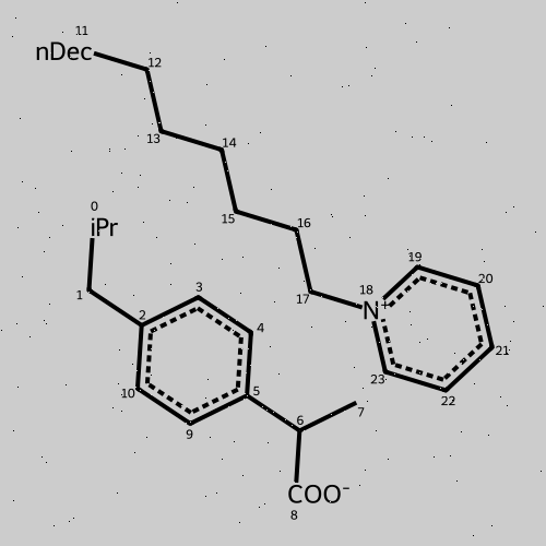 CC(C)Cc1ccc(C(C)C(=O)[O-])cc1.CCCCCCCCCCCCCCCC[n+]1ccccc1